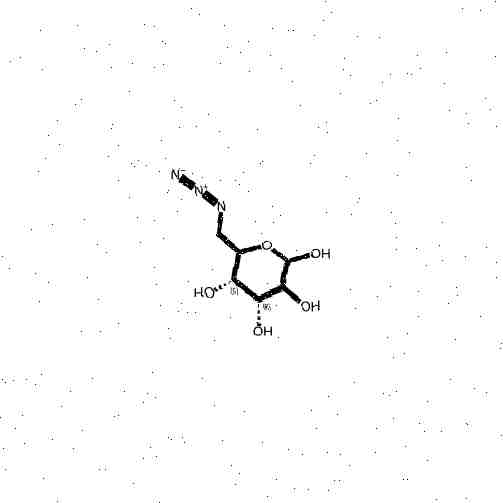 [N-]=[N+]=NCC1OC(O)C(O)[C@H](O)[C@@H]1O